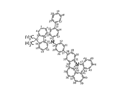 CC1(C)c2ccccc2-c2c(N(c3ccc(-c4ccccc4)cc3)c3ccc(-c4ccc5c(c4)c4ccc6cccc7c8ccccc8n5c4c67)cc3)cccc21